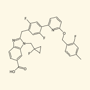 Cc1ccc(COc2cccc(-c3cc(F)c(Cc4nc5ccc(C(=O)O)cc5n4CC4(F)CC4)cc3F)n2)c(F)c1